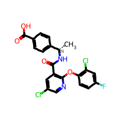 C[C@H](NC(=O)c1cc(Cl)cnc1Oc1ccc(F)cc1Cl)c1ccc(C(=O)O)cc1